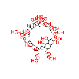 O=S(=O)(O)c1cc2cc(SOOO)c3c(O)c2c(O)c1Cc1c(S(=O)(=O)O)cc2cc(S(=O)(=O)O)c(c(O)c2c1O)Cc1c(S(=O)(=O)O)cc2cc(SOOO)c(c(O)c2c1O)Cc1c(SOOO)cc2cc(SOOO)c(c(O)c2c1O)C3